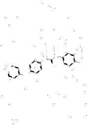 O=C(Nc1ccc(Oc2cc[n+]([O-])cc2)cc1)Nc1ccc(Cl)c(C(F)(F)F)c1